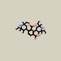 CCC1(C)CC(c2ccc(C(=O)O)c(C3CC(C)(CC)NC(C)(CC)C3C)c2C(=O)O)C(C)C(C)(CC)N1